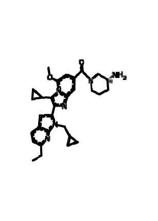 CCc1ccc2cc(-c3nc4cc(C(=O)N5CCC[C@@H](N)C5)cc(OC)n4c3C3CC3)n(CC3CC3)c2n1